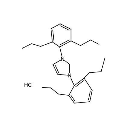 CCCc1cccc(CCC)c1N1C=CN(c2c(CCC)cccc2CCC)C1.Cl